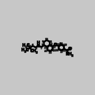 CC(C)(C)CCNCC1CCCc2c(Oc3ccc(C(N)=O)cn3)cccc21